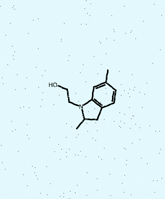 Cc1ccc2c(c1)N(CCO)C(C)C2